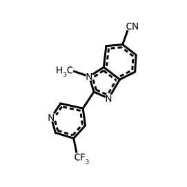 Cn1c(-c2cncc(C(F)(F)F)c2)nc2ccc(C#N)cc21